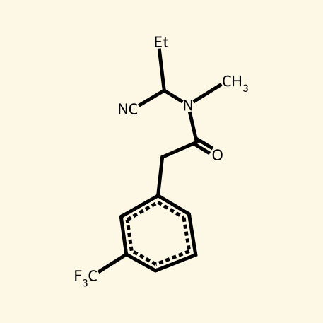 CCC(C#N)N(C)C(=O)Cc1cccc(C(F)(F)F)c1